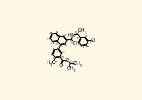 Cc1ccc(-c2cc(C(C)N[C@H](C)c3cccc(Cl)c3)cc3ccccc23)cc1C(=O)OC(C)C